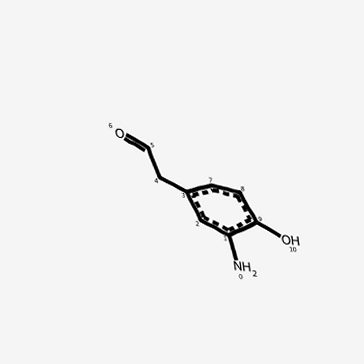 Nc1cc(CC=O)ccc1O